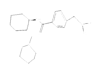 CCN(CC)Cc1ccc(C(=O)N[C@@H]2CCCC[C@H]2CN2CCCCC2)cc1